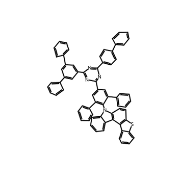 c1ccc(-c2ccc(-c3nc(-c4cc(-c5ccccc5)cc(-c5ccccc5)c4)nc(-c4cc(-c5ccccc5)c(-n5c6ccccc6c6c7c(ccc65)sc5ccccc57)c(-c5ccccc5)c4)n3)cc2)cc1